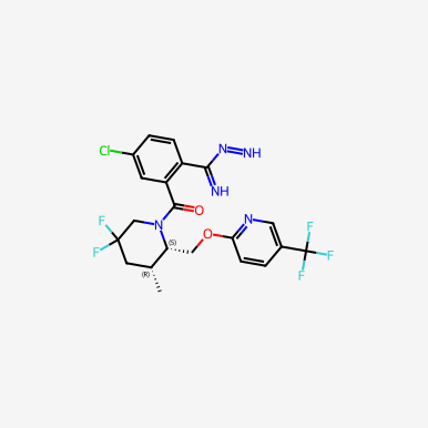 C[C@@H]1CC(F)(F)CN(C(=O)c2cc(Cl)ccc2C(=N)N=N)[C@@H]1COc1ccc(C(F)(F)F)cn1